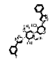 CO[C@H]1C[SH]([C@@H]2COC[C@H](n3cc(-c4ccccc4)nn3)[C@H]2O)[C@H](CO)[C@H](O)[C@@H]1n1cc(-c2cccc(F)c2)nn1